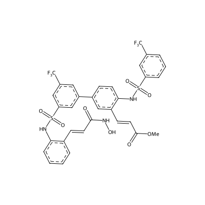 COC(=O)/C=C/c1cc(-c2cc(C(F)(F)F)cc(S(=O)(=O)Nc3ccccc3/C=C/C(=O)NO)c2)ccc1NS(=O)(=O)c1cccc(C(F)(F)F)c1